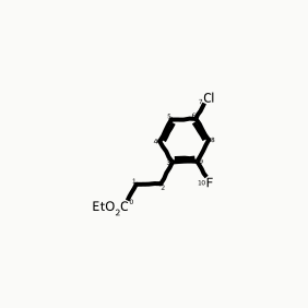 CCOC(=O)CCc1ccc(Cl)cc1F